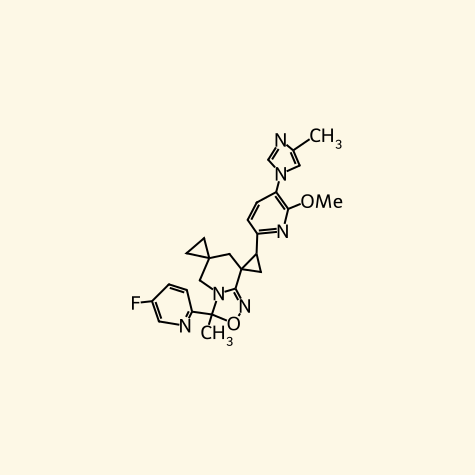 COc1nc(C2CC23CC2(CC2)CN2C3=NOC2(C)c2ccc(F)cn2)ccc1-n1cnc(C)c1